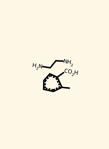 Cc1ccccc1C(=O)O.NCCN